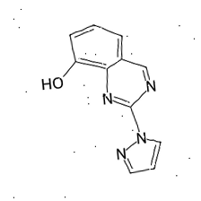 Oc1cccc2cnc(-n3cccn3)nc12